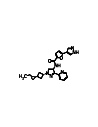 CCO[C@H]1C[C@H](n2cc(NC(=O)c3ccc(-c4cn[nH]c4)o3)c(-c3ccccn3)n2)C1